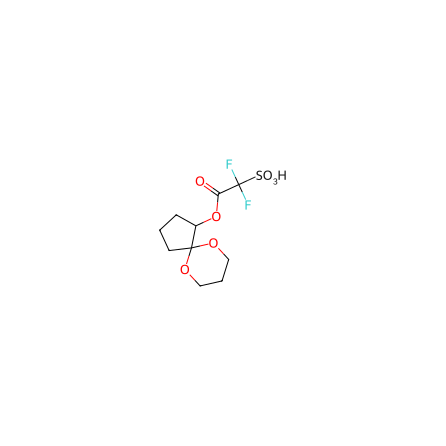 O=C(OC1CCCC12OCCCO2)C(F)(F)S(=O)(=O)O